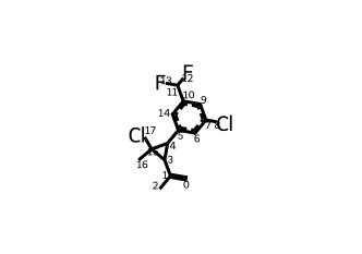 C=C(C)C1C(c2cc(Cl)cc(C(F)F)c2)C1(C)Cl